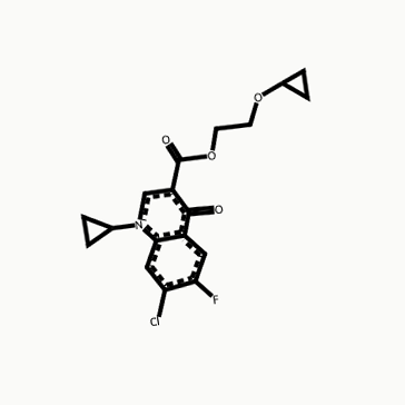 O=C(OCCOC1CC1)c1cn(C2CC2)c2cc(Cl)c(F)cc2c1=O